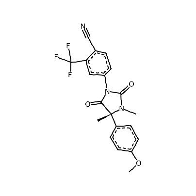 COc1ccc([C@]2(C)C(=O)N(c3ccc(C#N)c(C(F)(F)F)c3)C(=O)N2C)cc1